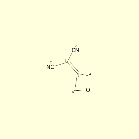 N#CC(C#N)=C1COC1